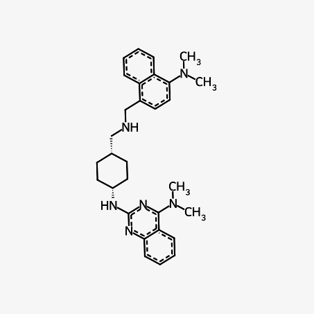 CN(C)c1nc(N[C@H]2CC[C@@H](CNCc3ccc(N(C)C)c4ccccc34)CC2)nc2ccccc12